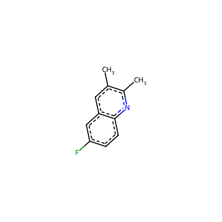 Cc1cc2cc(F)ccc2nc1C